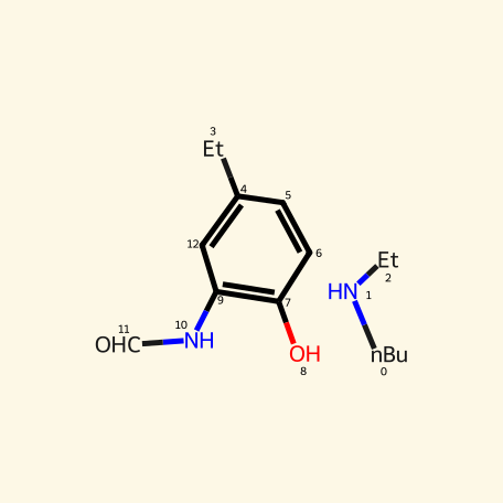 CCCCNCC.CCc1ccc(O)c(NC=O)c1